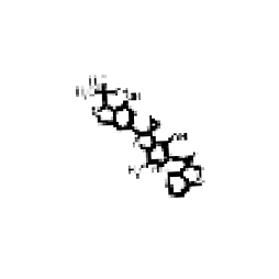 Cc1cc(C2CC23COc2cccc(O)c23)c(O)c2c1OC(c1cc(O)c3c(c1)COC3C(C)(C)C)C21CC1